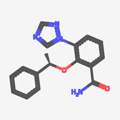 C[C@H](Oc1c(C(N)=O)cccc1-n1cncn1)c1ccccc1